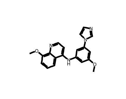 COc1cc(Nc2ccnc3c(OC)cccc23)cc(-n2ccnc2)c1